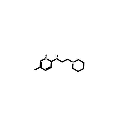 CC1=CNC(NCCN2CCCCC2)C=C1